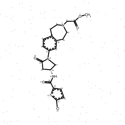 COC(=O)CN1CCc2ccc(N3C[C@H](NC(=O)c4ccc(Cl)s4)CC3=O)cc2CC1